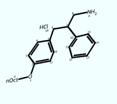 CCCCCCCCOc1ccc(CC(CN)c2ccccc2)cc1.Cl